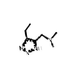 CCc1nn[nH]c1CN(C)C